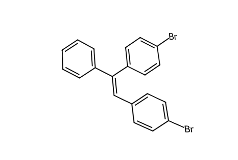 Brc1ccc(C=C(c2ccccc2)c2ccc(Br)cc2)cc1